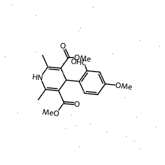 COC(=O)C1=C(C)NC(C)=C(C(=O)OC)C1c1ccc(OC)cc1C=O